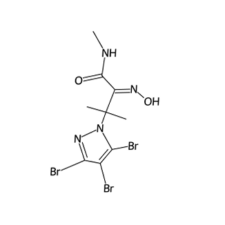 CNC(=O)/C(=N/O)C(C)(C)n1nc(Br)c(Br)c1Br